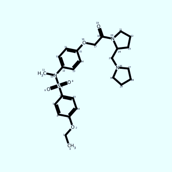 CCOc1ccc(S(=O)(=O)N(C)c2ccc(OCC(=O)N3CCCC3CN3CCCC3)cc2)cc1